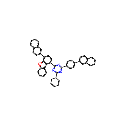 C1=CCC(c2nc(-c3ccc(-c4ccc5ccccc5c4)cc3)nc(-c3ccc(-c4ccc5ccccc5c4)c4oc5ccccc5c34)n2)C=C1